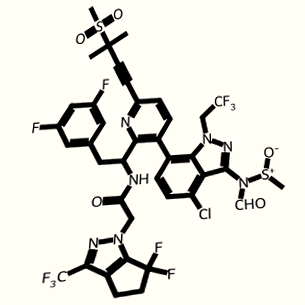 C[S+]([O-])N(C=O)c1nn(CC(F)(F)F)c2c(-c3ccc(C#CC(C)(C)S(C)(=O)=O)nc3C(Cc3cc(F)cc(F)c3)NC(=O)Cn3nc(C(F)(F)F)c4c3C(F)(F)CC4)ccc(Cl)c12